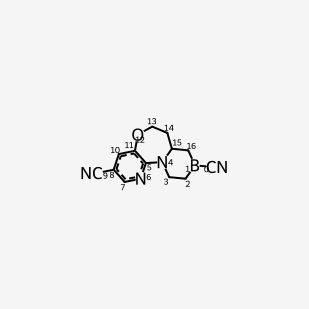 N#CB1CCN2c3ncc(C#N)cc3OCCC2C1